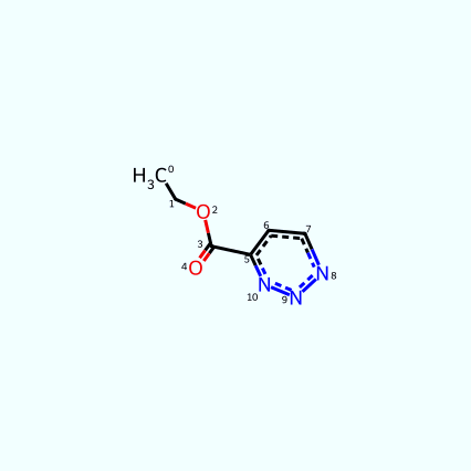 CCOC(=O)c1ccnnn1